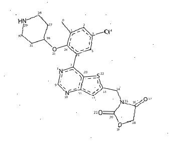 Cc1cc(Cl)cc(-c2ncnc3cc(CN4C(=O)COC4=O)sc23)c1OC1CCNCC1